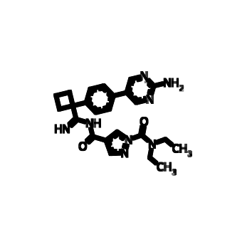 CCN(CC)C(=O)n1cc(C(=O)NC(=N)C2(c3ccc(-c4cnc(N)nc4)cc3)CCC2)cn1